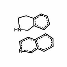 c1ccc2c(c1)CCNC2.c1ccc2cnccc2c1